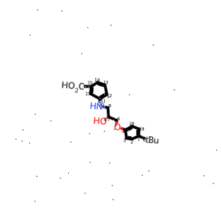 CC(C)(C)c1ccc(OCC(O)CNc2cccc(C(=O)O)c2)cc1